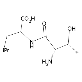 CC(C)CC(NC(=O)[C@@H](N)[C@@H](C)O)C(=O)O